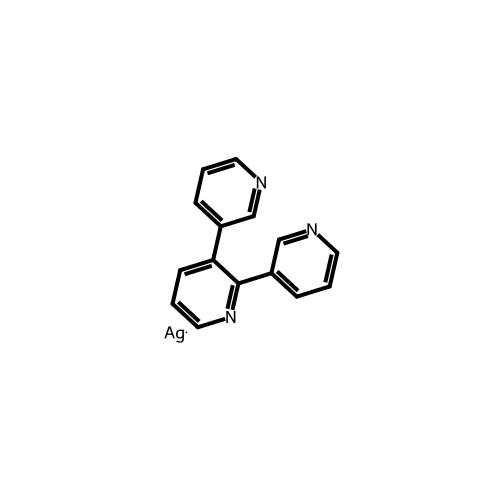 [Ag].c1cncc(-c2cccnc2-c2cccnc2)c1